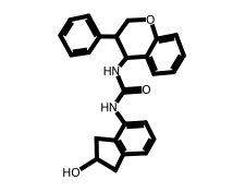 O=C(Nc1cccc2c1CC(O)C2)NC1c2ccccc2OCC1c1ccccc1